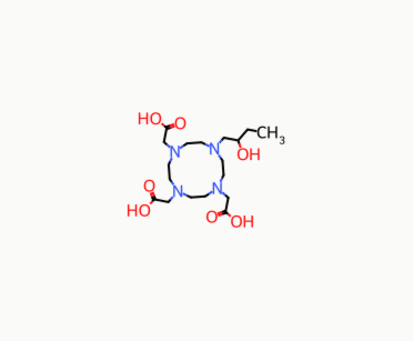 CCC(O)CN1CCN(CC(=O)O)CCN(CC(=O)O)CCN(CC(=O)O)CC1